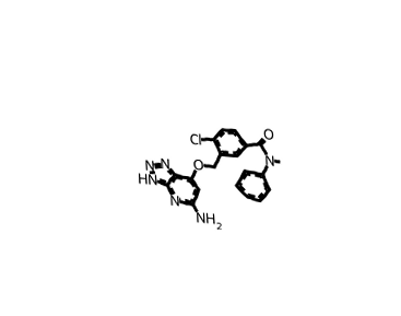 CN(C(=O)c1ccc(Cl)c(COc2cc(N)nc3[nH]nnc23)c1)c1ccccc1